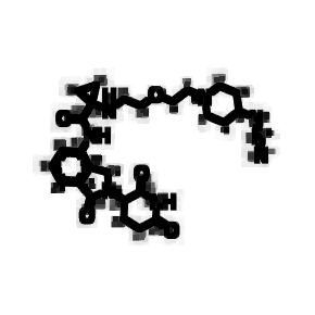 [N-]=[N+]=NC1CCN(CCOCCNC2(C(=O)Nc3cccc4c3CN(C3CCC(=O)NC3=O)C4=O)CC2)CC1